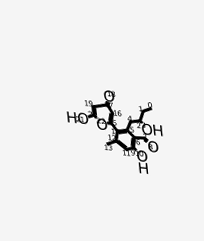 CCC(O)Cc1c(C=O)c(O)cc(C)c1-c1cc(=O)cc(O)o1